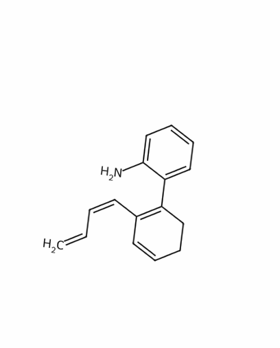 C=C/C=C\C1=C(c2ccccc2N)CCC=C1